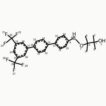 CC(C)(O)C(C)(C)OBc1ccc(-c2ccc(-c3cc(C(F)(F)F)cc(C(F)(F)F)c3)cc2)cc1